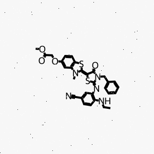 CCNc1ccc(C#N)cc1N=C1SC(=C2Sc3ccc(OCC(=O)OC)cc3N2C)C(=O)N1Cc1ccccc1